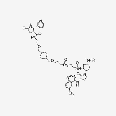 CC(C)N(C)[C@@H]1CC[C@H](N2CC[C@H](Nc3ncnc4ccc(C(F)(F)F)cc34)C2=O)[C@H](NC(=O)CCNC(=O)CCCOCC2CCC(COCCNC(=O)[C@H]3CC(=O)N(C)[C@@H]3c3cccnc3)CC2)C1